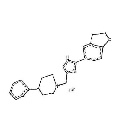 Br.c1ccc(C2CCN(Cc3c[nH]c(-c4ccc5c(c4)CCO5)n3)CC2)cc1